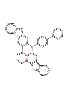 c1ccc(-c2ccc(N(c3ccc4sc5ccccc5c4c3)c3cc4oc5ccccc5c4cc3-c3ccccc3)cc2)cc1